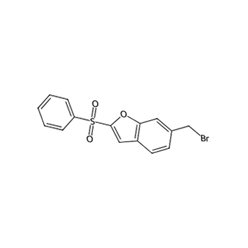 O=S(=O)(c1ccccc1)c1cc2ccc(CBr)cc2o1